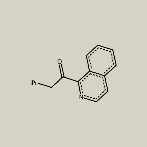 CC(C)CC(=O)c1nccc2ccccc12